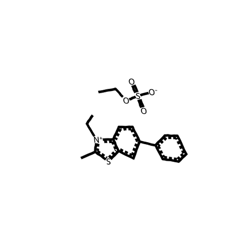 CCOS(=O)(=O)[O-].CC[n+]1c(C)sc2cc(-c3ccccc3)ccc21